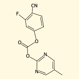 Cc1cnc(OC(=O)Oc2ccc(C#N)c(F)c2)nc1